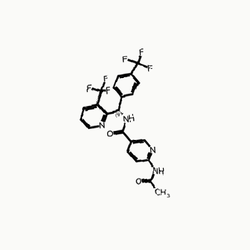 CC(=O)Nc1ccc(C(=O)N[C@@H](c2ccc(C(F)(F)F)cc2)c2ncccc2C(F)(F)F)cn1